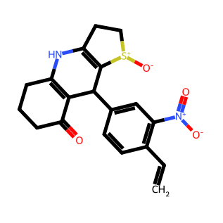 C=Cc1ccc(C2C3=C(CCCC3=O)NC3=C2[S+]([O-])CC3)cc1[N+](=O)[O-]